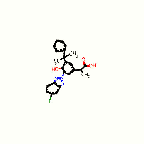 CC(C(=O)O)c1cc(-n2nc3ccc(F)cc3n2)c(O)c(C(C)(C)c2ccccc2)c1